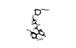 COc1cnc(Br)cc1-c1cc(C)ncc1C(=O)Nc1nnc(O[C@H]2CC[C@@H](CO)CC2)s1